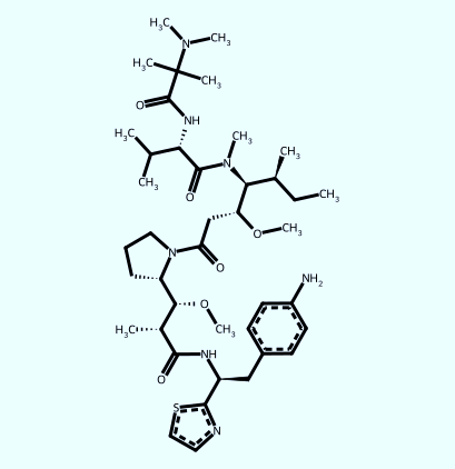 CC[C@H](C)[C@@H]([C@@H](CC(=O)N1CCC[C@H]1[C@H](OC)[C@@H](C)C(=O)N[C@@H](Cc1ccc(N)cc1)c1nccs1)OC)N(C)C(=O)[C@@H](NC(=O)C(C)(C)N(C)C)C(C)C